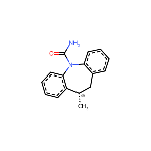 C[C@H]1Cc2ccccc2N(C(N)=O)c2ccccc21